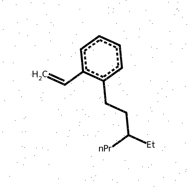 C=Cc1ccccc1CCC(CC)CCC